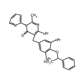 CCCc1cc(Cc2c(CCC)nc(C)n(-c3ccccn3)c2=O)cc(CCC)c1OC(C(=O)O)c1ccccc1